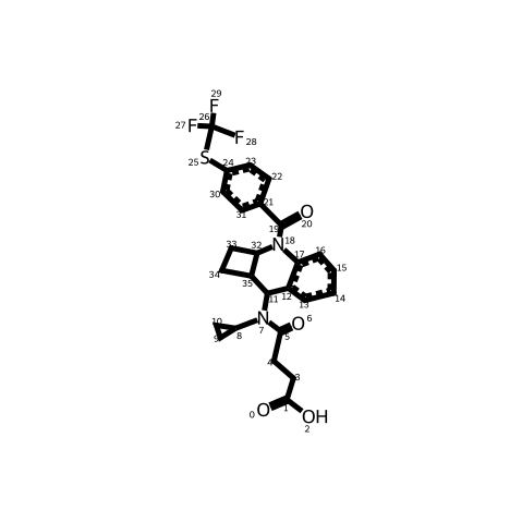 O=C(O)CCC(=O)N(C1CC1)C1c2ccccc2N(C(=O)c2ccc(SC(F)(F)F)cc2)C2CCC21